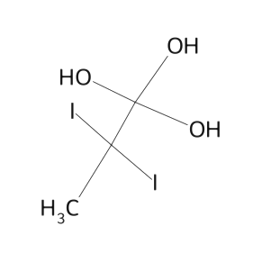 CC(I)(I)C(O)(O)O